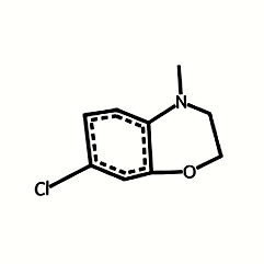 CN1CCOc2cc(Cl)ccc21